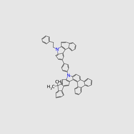 CC1(C)c2ccccc2-c2cc3c4c5c6ccccc6c6ccccc6c5ccc4n(-c4ccc(-c5ccc6c(c5)c5c7ccccc7ccc5n6CCc5ccccc5)cc4)c3cc21